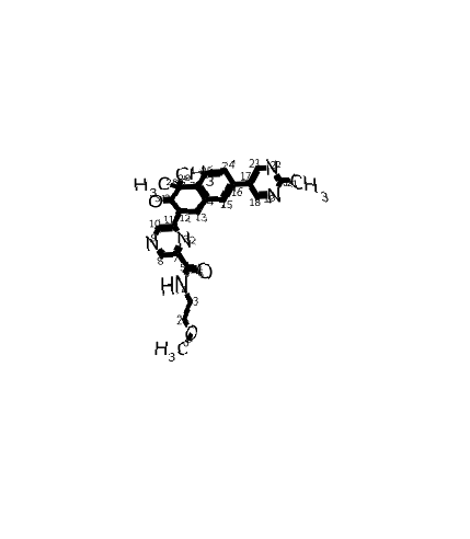 COCCNC(=O)c1cncc(C2Cc3cc(-c4cnc(C)nc4)ccc3C(C)(C)C2=O)n1